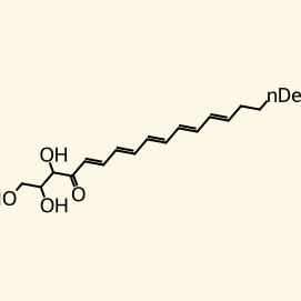 CCCCCCCCCCCCC=CC=CC=CC=CC=CC(=O)C(O)C(O)CO